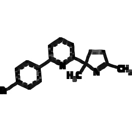 CC1=NC(C)(c2cccc(-c3ccc(Br)cc3)n2)C=C1